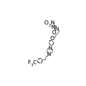 C[C@@H]1CN(c2ccc(OCC3CCn4cc([N+](=O)[O-])nc4O3)cc2)C[C@H](C)N1CCCc1ccc(C(F)(F)F)cc1